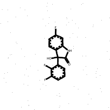 O=C1Nc2cc(F)ccc2C1(O)c1cccc(F)c1F